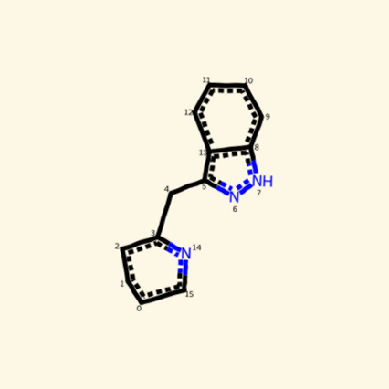 c1ccc(Cc2n[nH]c3ccccc23)nc1